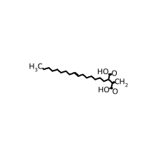 C=C(C(=O)O)C(CCCCCCC=CCCCCCCCC)C(=O)O